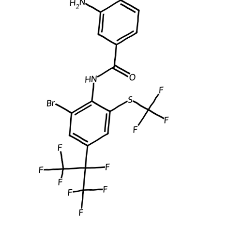 Nc1cccc(C(=O)Nc2c(Br)cc(C(F)(C(F)(F)F)C(F)(F)F)cc2SC(F)(F)F)c1